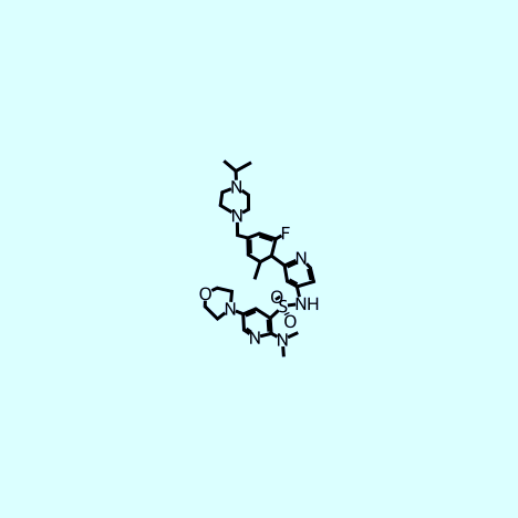 CC1C=C(CN2CCN(C(C)C)CC2)C=C(F)C1c1cc(NS(=O)(=O)c2cc(N3CCOCC3)cnc2N(C)C)ccn1